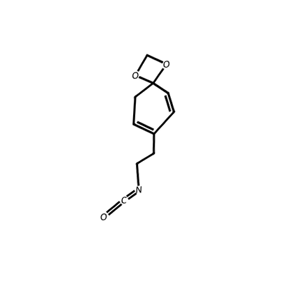 O=C=NCCC1=CCC2(C=C1)OCO2